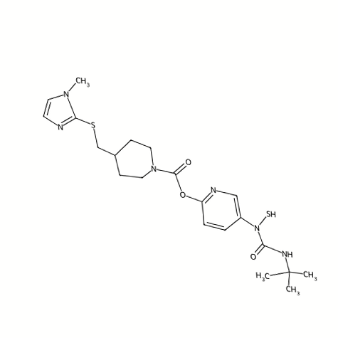 Cn1ccnc1SCC1CCN(C(=O)Oc2ccc(N(S)C(=O)NC(C)(C)C)cn2)CC1